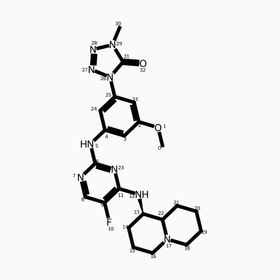 COc1cc(Nc2ncc(F)c(N[C@@H]3CCCN4CCCCC34)n2)cc(-n2nnn(C)c2=O)c1